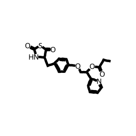 CCC(=O)OC(COc1ccc(CC2NC(=O)SC2=O)cc1)c1ccccn1